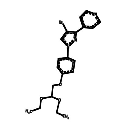 CCOC(COc1ccc(-n2cc(Br)c(-c3ccncc3)n2)cc1)OCC